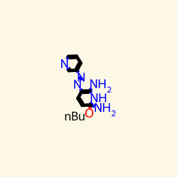 CCCCOC1(N)C=CC(/N=N/c2cccnc2)=C(N)N1